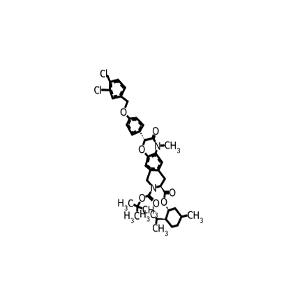 CC1CC[C@@H](C(C)C)[C@H](OC(=O)[C@@H]2Cc3cc4c(cc3CN2C(=O)OC(C)(C)C)O[C@H](c2ccc(OCc3ccc(Cl)c(Cl)c3)cc2)C(=O)N4C)C1